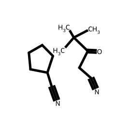 CC(C)(C)C(=O)CC#N.N#CC1CCCC1